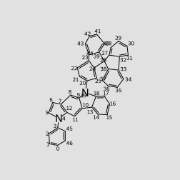 c1ccc(-n2ccc3cc4c(cc32)c2ccccc2n4-c2ccc3c(c2)C2(c4ccccc4-c4ccccc42)c2ccccc2-3)cc1